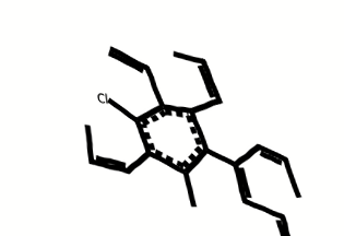 C=C/C=C(\C=C/C)c1c(C)c(/C=C\C)c(Cl)c(C=C)c1/C=C\C